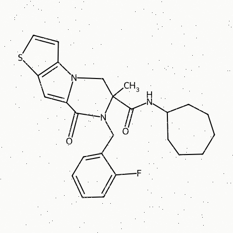 CC1(C(=O)NC2CCCCCC2)Cn2c(cc3sccc32)C(=O)N1Cc1ccccc1F